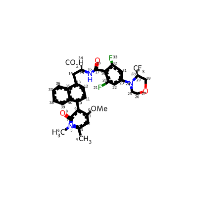 COc1cc(C)n(C)c(=O)c1-c1ccc(C[C@H](NC(=O)c2c(F)cc(N3CCOC[C@@H]3C(F)(F)F)cc2F)C(=O)O)c2ccccc12